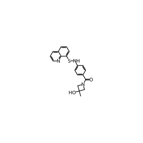 CC1(O)CN(C(=O)c2ccc(NSc3cccc4cccnc34)cc2)C1